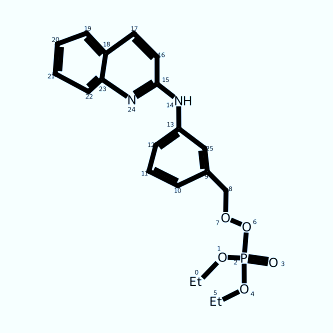 CCOP(=O)(OCC)OOCc1cccc(Nc2ccc3ccccc3n2)c1